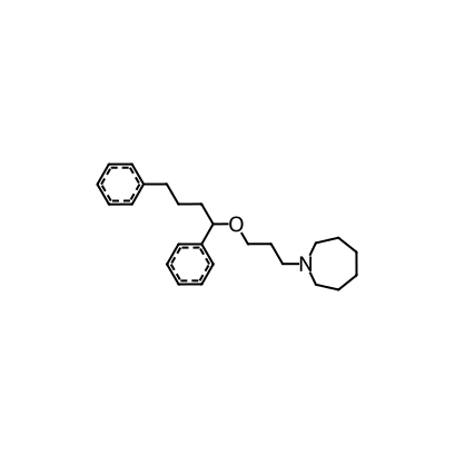 c1ccc(CCCC(OCCCN2CCCCCC2)c2ccccc2)cc1